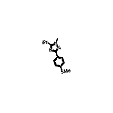 CSc1ccc(-c2nc(C(C)C)n(C)n2)cc1